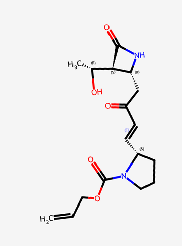 C=CCOC(=O)N1CCC[C@H]1/C=C/C(=O)C[C@H]1NC(=O)[C@@H]1[C@@H](C)O